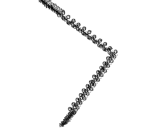 O=[N+]([O-])[O-].O=[N+]([O-])[O-].O=[N+]([O-])[O-].O=[N+]([O-])[O-].O=[N+]([O-])[O-].O=[N+]([O-])[O-].O=[N+]([O-])[O-].O=[N+]([O-])[O-].O=[N+]([O-])[O-].O=[N+]([O-])[O-].O=[N+]([O-])[O-].O=[N+]([O-])[O-].O=[N+]([O-])[O-].O=[N+]([O-])[O-].O=[N+]([O-])[O-].O=[N+]([O-])[O-].O=[N+]([O-])[O-].O=[N+]([O-])[O-].O=[N+]([O-])[O-].O=[N+]([O-])[O-].O=[N+]([O-])[O-].O=[N+]([O-])[O-].O=[N+]([O-])[O-].[Ni+2].[Ni+2].[Ni+2].[Ni+2].[Ni+2].[Ni+2].[Ni+2].[Ni+2].[Ni+2].[Ni+2].[Ni+2].[Ni+2].[Ni+2].[Ni+2].[Ni+2].[Ni+2].[Ni+2].[Ni+2].[Ni+2].[Ni+2].[Ni+2].[Ni+2].[Ni+2]